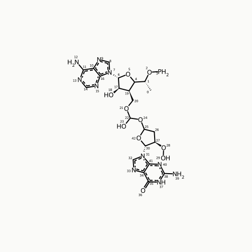 C[C@@H](OP)C1O[C@@H](n2cnc3c(N)ncnc32)[C@H](O)[C@@H]1COC(O)OC1C[C@@H](OO)[C@H](n2cnc3c(=O)[nH]c(N)nc32)O1